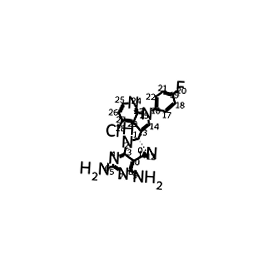 C[C@H](Nc1nc(N)nc(N)c1C#N)c1cn(-c2ccc(F)cc2)c2nccc(Cl)c12